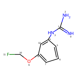 N=C(N)Nc1cccc(OCF)c1